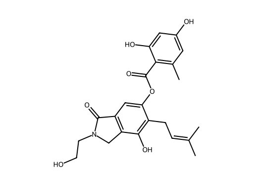 CC(C)=CCc1c(OC(=O)c2c(C)cc(O)cc2O)cc2c(c1O)CN(CCO)C2=O